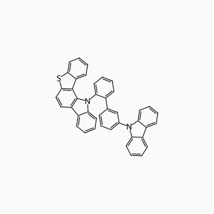 c1cc(-c2ccccc2-n2c3ccccc3c3ccc4sc5ccccc5c4c32)cc(-n2c3ccccc3c3ccccc32)c1